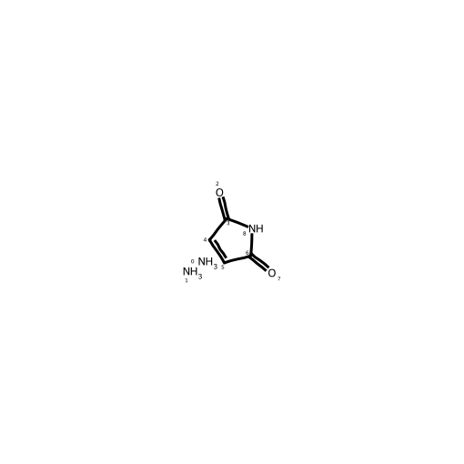 N.N.O=C1C=CC(=O)N1